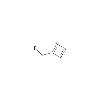 FCC1=NC=C1